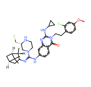 COc1ccc(CCn2c(NC3CC3)nc3cc(N/C(=N/C4C[C@H]5C[C@@H]([C@@H]4C)C5(C)C)N4CCN[C@@H](CF)C4)ccc3c2=O)c(F)c1